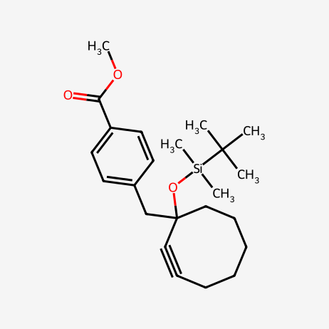 COC(=O)c1ccc(CC2(O[Si](C)(C)C(C)(C)C)C#CCCCCC2)cc1